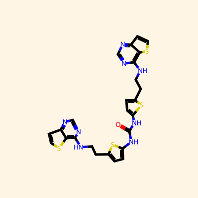 O=C(Nc1ccc(CCNc2ncnc3ccsc23)s1)Nc1ccc(CCNc2ncnc3ccsc23)s1